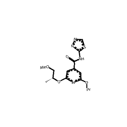 COC[C@@H](C)Oc1cc(C(=O)Nc2nncs2)cc(OC(C)C)n1